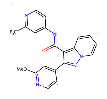 COc1cc(-c2nn3ccccc3c2C(=O)Nc2ccnc(C(F)(F)F)c2)ccn1